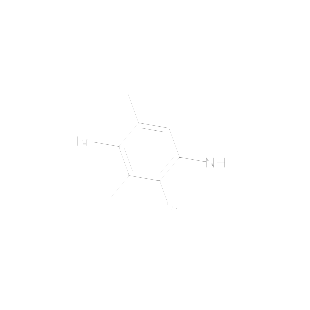 Cc1cc(N)c(Br)c(C)c1Br